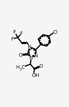 CC(C(=O)O)n1nc(-c2ccc(Cl)cc2)n(C=CC(F)(F)F)c1=O